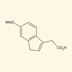 COc1ccc2c(c1)CC=C2CC(=O)O